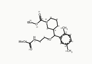 COC(=O)NCCOC(c1cc(C)ccc1C)C1CCCN(C(=O)OC(C)(C)C)C1